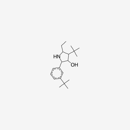 CCC1NC(c2cccc(C(C)(C)C)c2)C(O)C1C(C)(C)C